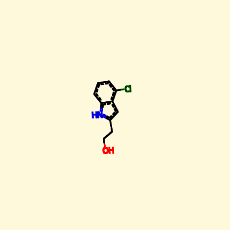 OCCc1cc2c(Cl)cccc2[nH]1